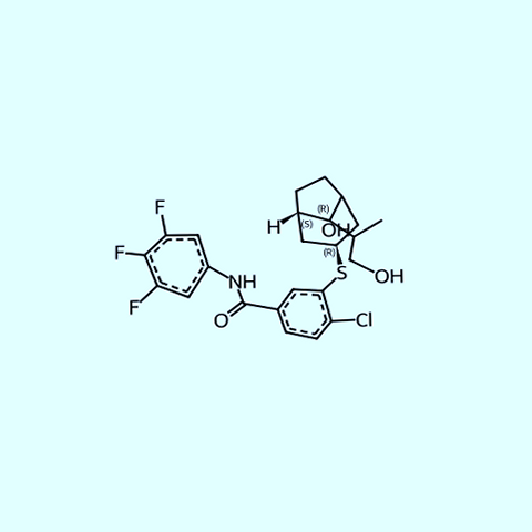 CC(CO)[C@@]1(O)C2CC[C@H]1C[C@H](Sc1cc(C(=O)Nc3cc(F)c(F)c(F)c3)ccc1Cl)C2